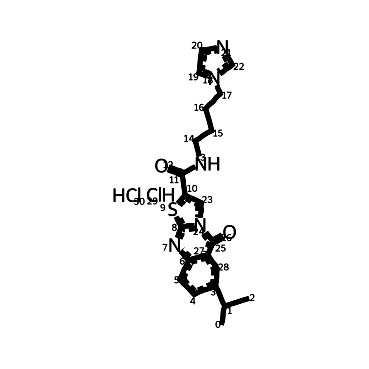 CC(C)c1ccc2nc3sc(C(=O)NCCCCn4ccnc4)cn3c(=O)c2c1.Cl.Cl